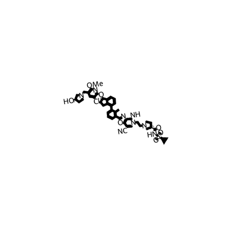 COc1nc(O[C@H]2CCc3c(-c4cccc(-c5nc6c(=N)n(CCN7CC[C@@H](C(=O)NS(=O)(=O)C8CC8)C7)cc(C#N)c6o5)c4C)cccc32)c(Cl)cc1CN1CC[C@@H](O)C1